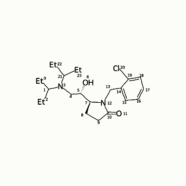 CCC(CC)N(C[C@H](O)[C@@H]1CCC(=O)N1Cc1ccccc1Cl)C(CC)CC